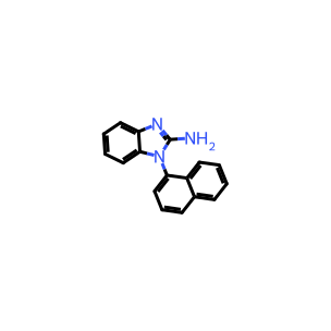 Nc1nc2ccccc2n1-c1cccc2ccccc12